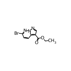 CCOC(=O)c1cnn2nc(Br)ccc12